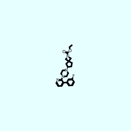 CCOC(=O)N1CC2(CC[C@@H](N3CCN(c4ncccc4-c4cccc(F)c4)CC3)C2)C1